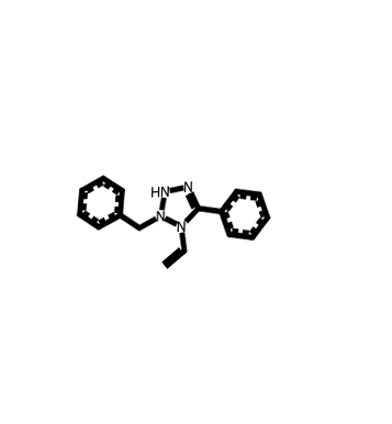 C=CN1C(c2ccccc2)=NNN1Cc1ccccc1